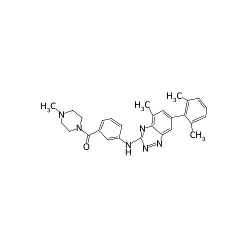 Cc1cccc(C)c1-c1cc(C)c2nc(Nc3cccc(C(=O)N4CCN(C)CC4)c3)nnc2c1